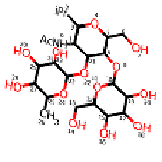 CC(=O)NC1C(C(C)C)OC(CO)C(OC2OC(CO)C(O)C(O)C2O)C1OC1OC(C)C(O)C(O)C1O